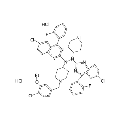 CCOc1cc(CN2CCC(N(c3nc(-c4ccccc4F)c4cc(Cl)ccc4n3)N(c3nc(-c4ccccc4F)c4cc(Cl)ccc4n3)C3CCNCC3)CC2)ccc1Cl.Cl.Cl